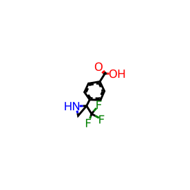 O=C(O)c1ccc(C2(C(F)(F)F)CN2)cc1